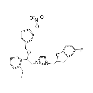 CCc1ccccc1C(C[n+]1ccn(CC2Cc3cc(F)ccc3O2)c1)OCc1ccccc1.O=[N+]([O-])[O-]